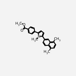 COC(=O)c1ccc(-c2ccc(-c3ccc4c(C)ccc(C)c4c3)n2C)cc1